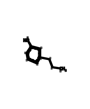 CCCc1[c]ccc(O)c1